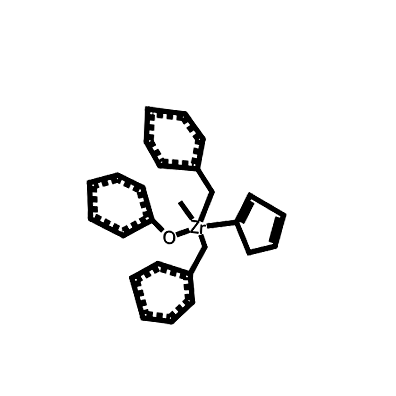 [CH3][Zr]([CH2]c1ccccc1)([CH2]c1ccccc1)([O]c1ccccc1)[C]1=CC=CC1